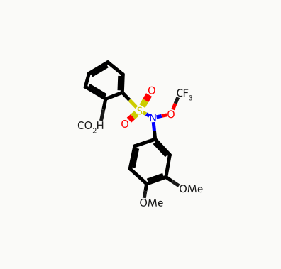 COc1ccc(N(OC(F)(F)F)S(=O)(=O)c2ccccc2C(=O)O)cc1OC